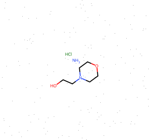 Cl.N.OCCN1CCOCC1